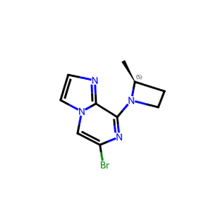 C[C@H]1CCN1c1nc(Br)cn2ccnc12